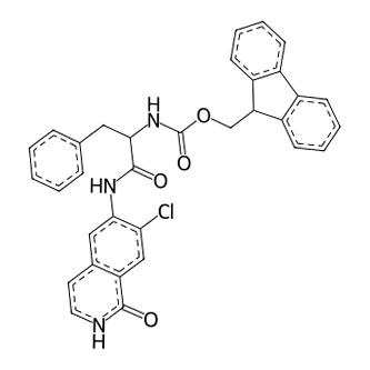 O=C(NC(Cc1ccccc1)C(=O)Nc1cc2cc[nH]c(=O)c2cc1Cl)OCC1c2ccccc2-c2ccccc21